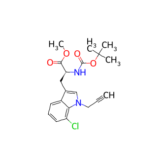 C#CCn1cc(C[C@H](NC(=O)OC(C)(C)C)C(=O)OC)c2cccc(Cl)c21